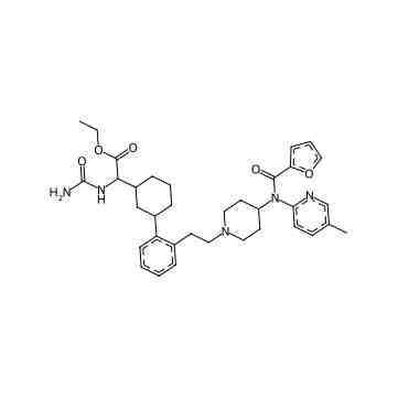 CCOC(=O)C(NC(N)=O)C1CCCC(c2ccccc2CCN2CCC(N(C(=O)c3ccco3)c3ccc(C)cn3)CC2)C1